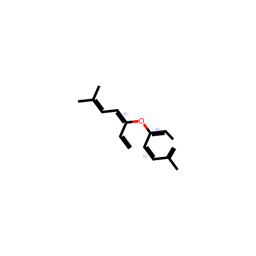 C=C/C(=C\C=C(C)C)OC(/C=C\C(=C)C)=C/C